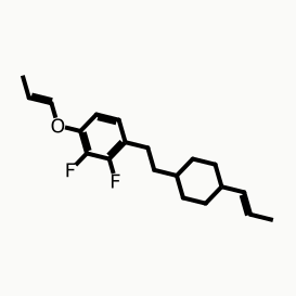 C/C=C/Oc1ccc(CCC2CCC(/C=C/C)CC2)c(F)c1F